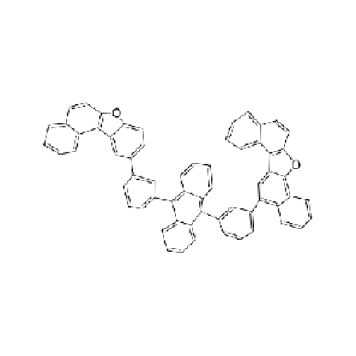 c1cc(-c2ccc3oc4ccc5ccccc5c4c3c2)cc(-c2c3ccccc3c(-c3cccc(-c4cc5c(oc6ccc7ccccc7c65)c5ccccc45)c3)c3ccccc23)c1